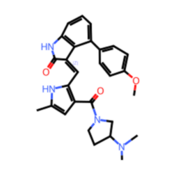 COc1ccc(-c2cccc3c2/C(=C/c2[nH]c(C)cc2C(=O)N2CCC(N(C)C)C2)C(=O)N3)cc1